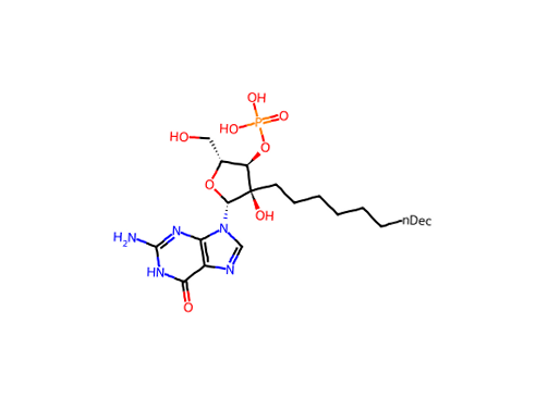 CCCCCCCCCCCCCCCC[C@@]1(O)[C@H](OP(=O)(O)O)[C@@H](CO)O[C@H]1n1cnc2c(=O)[nH]c(N)nc21